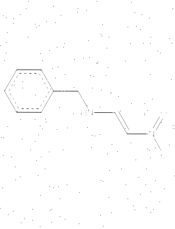 O=[N+]([O-])/C=C/NCc1ccccc1